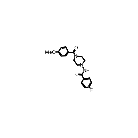 COc1ccc(C(=O)N2CCN(NC(=O)c3ccc(F)cc3)CC2)cc1